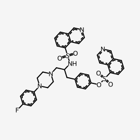 O=S(=O)(NC(Cc1ccc(OS(=O)(=O)c2cccc3cnccc23)cc1)CN1CCN(c2ccc(F)cc2)CC1)c1cccc2cnccc12